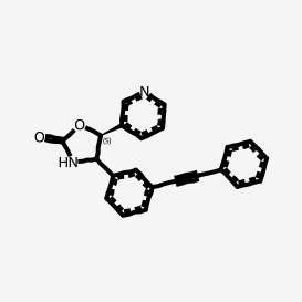 O=C1NC(c2cccc(C#Cc3ccccc3)c2)[C@H](c2cccnc2)O1